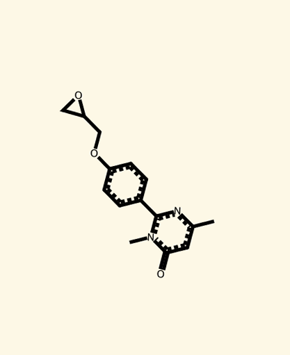 Cc1cc(=O)n(C)c(-c2ccc(OCC3CO3)cc2)n1